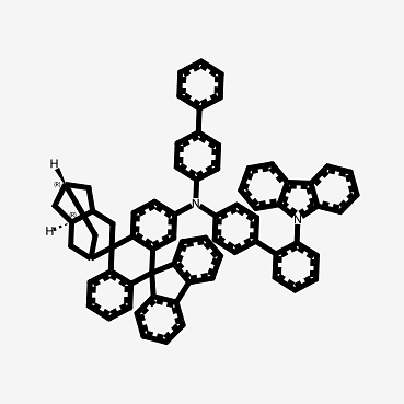 c1ccc(-c2ccc(N(c3ccc(-c4ccccc4-n4c5ccccc5c5ccccc54)cc3)c3ccc4c(c3)C3(c5ccccc5-c5ccccc53)c3ccccc3C43CC4C[C@@H]5CC3C[C@H]4C5)cc2)cc1